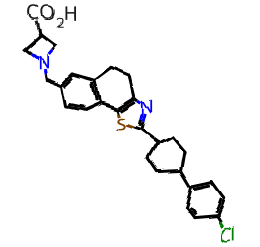 O=C(O)C1CN(Cc2ccc3c(c2)CCc2nc(C4CCC(c5ccc(Cl)cc5)CC4)sc2-3)C1